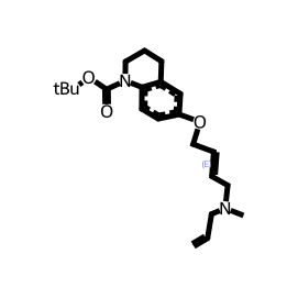 C=CCN(C)C/C=C/COc1ccc2c(c1)CCCN2C(=O)OC(C)(C)C